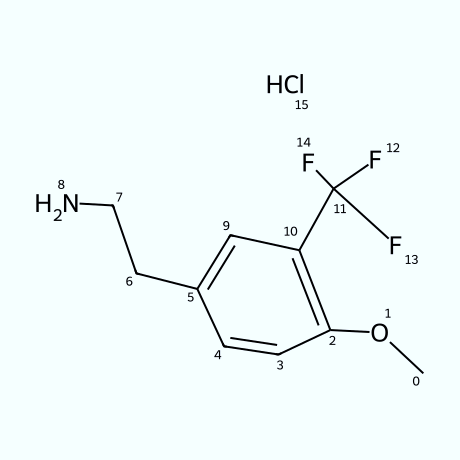 COc1ccc(CCN)cc1C(F)(F)F.Cl